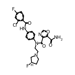 NC(=O)c1ocnc1C(=O)N(CCN1CC[C@@H](F)C1)c1ccc(NC(=O)c2ccc(F)cc2Cl)cc1